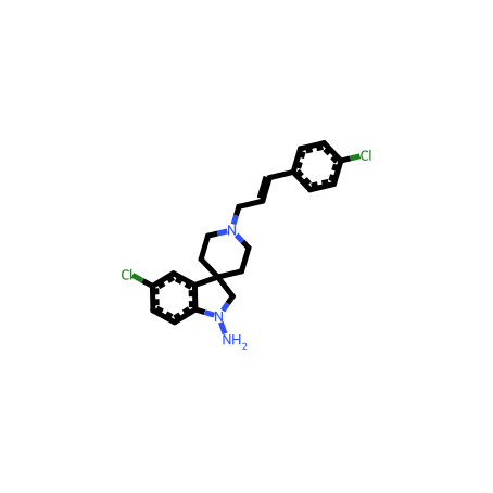 NN1CC2(CCN(CC=Cc3ccc(Cl)cc3)CC2)c2cc(Cl)ccc21